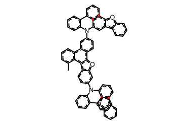 Cc1cccc2c3cc(N(c4ccc5oc6ccccc6c5c4)c4ccccc4-c4ccccc4)ccc3c3oc4cc(N(c5ccccc5-c5ccccc5)c5cccc6c5oc5ccccc56)ccc4c3c12